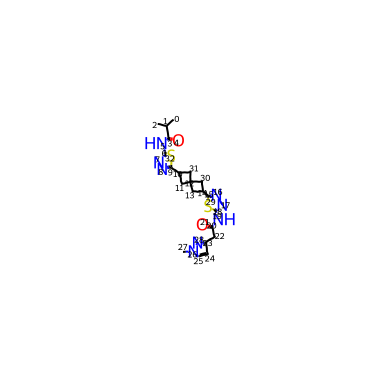 CC(C)C(=O)Nc1nnc(C2CC3(CC(c4nnc(NC(=O)Cc5ccn(C)n5)s4)C3)C2)s1